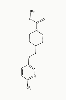 CC(C)(C)OC(=O)N1CCC(COc2ccc(C(F)(F)F)nc2)CC1